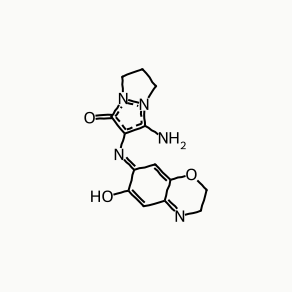 Nc1c(N=C2C=C3OCCN=C3C=C2O)c(=O)n2n1CCC2